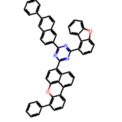 c1ccc(-c2ccc3cc(-c4nc(-c5ccc6c7c(cccc57)-c5cccc(-c7ccccc7)c5O6)nc(-c5cccc6oc7ccccc7c56)n4)ccc3c2)cc1